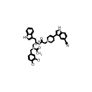 CC(=O)N(Cc1ccc(Cl)c(Cl)c1)C[C@@H](Cc1c[nH]c2ccccc12)NC(=O)CN1CC=C(c2c[nH]c3ccc(C#N)cc23)CC1